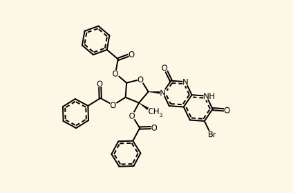 C[C@@]1(OC(=O)c2ccccc2)C(OC(=O)c2ccccc2)C(OC(=O)c2ccccc2)O[C@H]1n1cc2cc(Br)c(=O)[nH]c2nc1=O